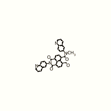 CN(C(=O)c1ccc2c3c(ccc(C=O)c13)C(=O)N(c1ccc3ncccc3c1)C2=O)c1ccc2ncccc2c1